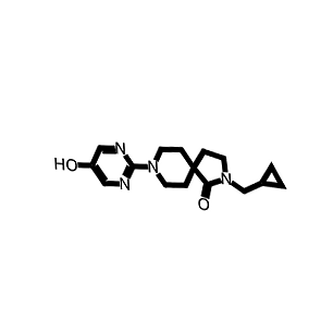 O=C1N(CC2CC2)CCC12CCN(c1ncc(O)cn1)CC2